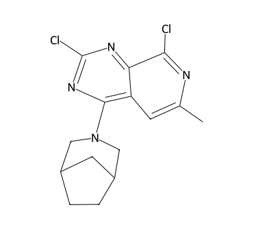 Cc1cc2c(N3CC4CCC(C4)C3)nc(Cl)nc2c(Cl)n1